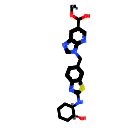 COC(O)c1cnc2c(c1)ncn2Cc1ccc2nc(N[C@@H]3CCCC[C@H]3O)sc2c1